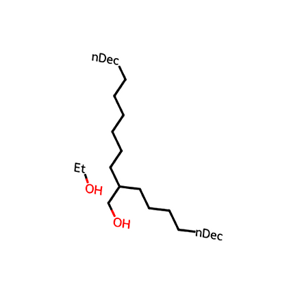 CCCCCCCCCCCCCCCCC(CO)CCCCCCCCCCCCCC.CCO